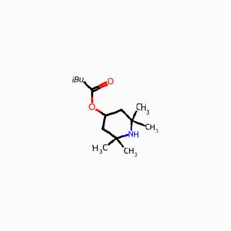 CCC(C)C(=O)OC1CC(C)(C)NC(C)(C)C1